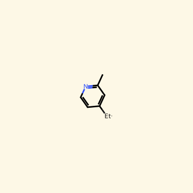 C[CH]c1ccnc(C)c1